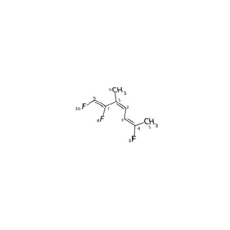 CC(=C/C=C(\C)F)/C(F)=C/F